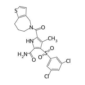 Cc1c(C(=O)N2CCCc3sccc3C2)[nH]c(C(N)=O)c1S(=O)(=O)c1cc(Cl)cc(Cl)c1